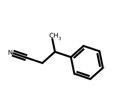 CC(CC#N)c1cc[c]cc1